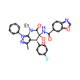 CCN1C(=O)[C@](O)(NC(=O)c2ccc3ncoc3c2)[C@@H](c2ccc(F)cc2)c2c(C)nn(-c3ccccc3)c21